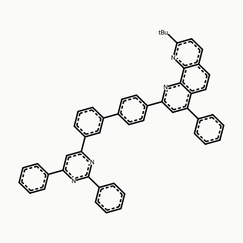 CC(C)(C)c1ccc2ccc3c(-c4ccccc4)cc(-c4ccc(-c5cccc(-c6cc(-c7ccccc7)nc(-c7ccccc7)n6)c5)cc4)nc3c2n1